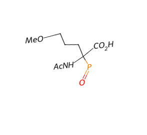 COCCCC(NC(C)=O)(P=O)C(=O)O